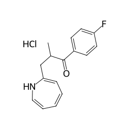 CC(CC1=CC=CC=CN1)C(=O)c1ccc(F)cc1.Cl